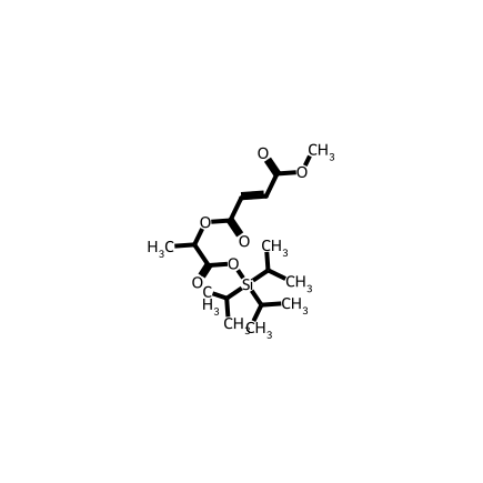 COC(=O)C=CC(=O)OC(C)C(=O)O[Si](C(C)C)(C(C)C)C(C)C